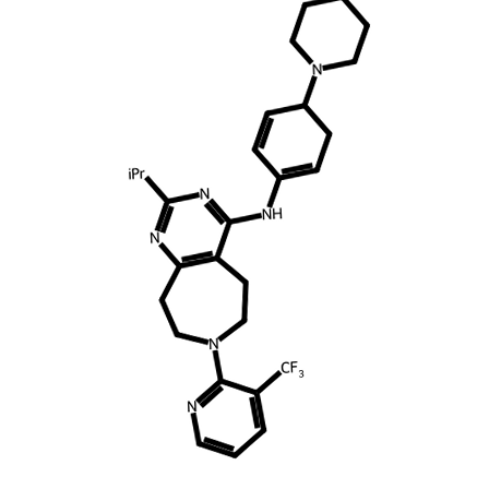 CC(C)c1nc2c(c(NC3=CCC(N4CCCCC4)C=C3)n1)CCN(c1ncccc1C(F)(F)F)CC2